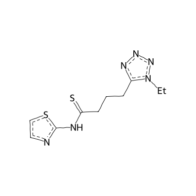 CCn1nnnc1CCCC(=S)Nc1nccs1